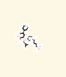 CN(C)C/C=C/C(=O)N1CC[C@@H](N(CC2CC2)c2cc(-c3ccncc3)c[nH]c2=O)C1